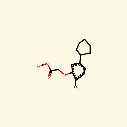 COC(=O)COc1cc(C2CCCCC2)ccc1C